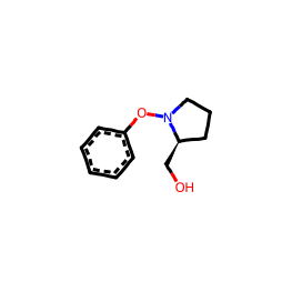 OC[C@@H]1CCCN1Oc1ccccc1